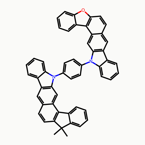 CC1(C)c2ccccc2-c2c1ccc1cc3c4ccccc4n(-c4ccc(-n5c6ccccc6c6cc7ccc8oc9ccccc9c8c7cc65)cc4)c3cc21